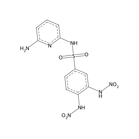 Nc1cccc(NS(=O)(=O)c2ccc(N[N+](=O)[O-])c(N[N+](=O)[O-])c2)n1